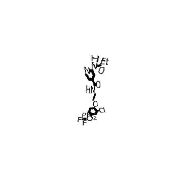 CCC(=O)Nc1cc(C(=O)NCCOc2ccc(OC(F)(F)P)cc2Cl)ccn1